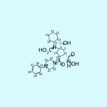 O=C(NO)[C@H]1C[C@](CO)(N(C(=O)O)C2CCCCC2)C[C@@H]1C(=O)N1CCN(c2ccccc2)CC1